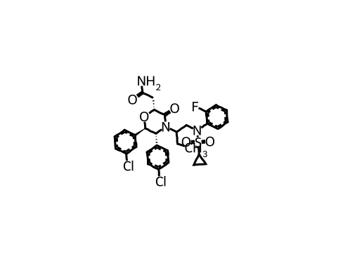 CCC(CN(c1ccccc1F)S(=O)(=O)C1CC1)N1C(=O)[C@@H](CC(N)=O)O[C@H](c2cccc(Cl)c2)[C@H]1c1ccc(Cl)cc1